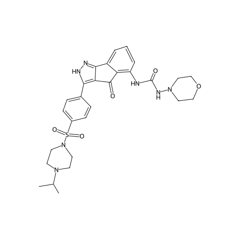 CC(C)N1CCN(S(=O)(=O)c2ccc(-c3[nH]nc4c3C(=O)c3c(NC(=O)NN5CCOCC5)cccc3-4)cc2)CC1